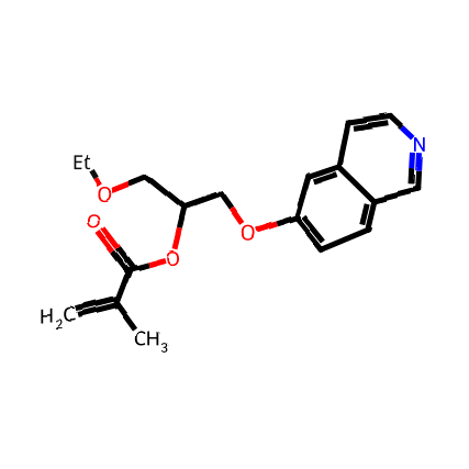 C=C(C)C(=O)OC(COCC)COc1ccc2cnccc2c1